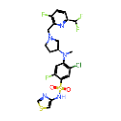 CN(c1cc(F)c(S(=O)(=O)Nc2cscn2)cc1Cl)[C@H]1CCN(Cc2nc(C(F)F)ccc2F)C1